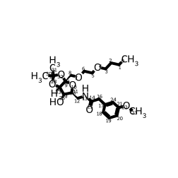 CCCCOCCOC[C@@]12O[C@@H](CNC(=O)Cc3cccc(OC)c3)[C@@H](O)[C@@H]1OC(C)(C)O2